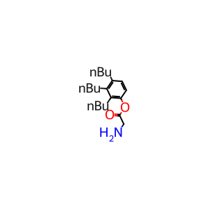 CCCCc1ccc(OC(=O)CN)c(CCCC)c1CCCC